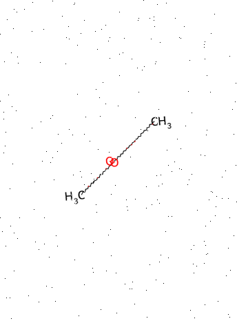 CCCCCCCCC=CCCCCCCCCCCCC(=O)OCCCCCCCCCCCCCCCCCCCCCCCCCCCC